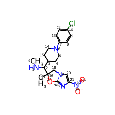 CNC(C1CCN(c2ccc(Cl)cc2)CC1)C1(C)Cn2cc([N+](=O)[O-])nc2O1